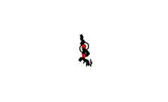 C/C=C/C=C/C(=O)Oc1cccc(C(CC)[C@H](C)CN(C)C)c1